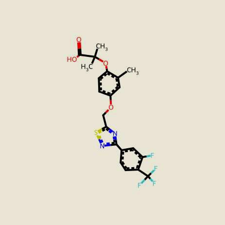 Cc1cc(OCc2nc(-c3ccc(C(F)(F)F)c(F)c3)ns2)ccc1OC(C)(C)C(=O)O